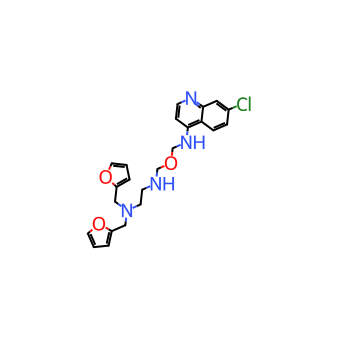 Clc1ccc2c(NCOCNCCN(Cc3ccco3)Cc3ccco3)ccnc2c1